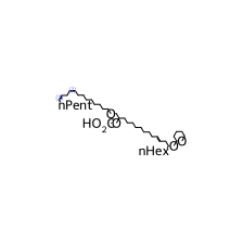 CCCCC/C=C\C/C=C\CCCCCCCCOCC(CCCCCCCCC=CCC(CCCCCC)OC1CCCCO1)OC(=O)O